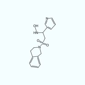 O=S(=O)(CC(NO)c1cccnc1)N1CCc2ccccc2C1